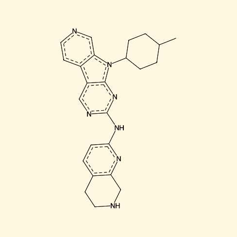 CC1CCC(n2c3cnccc3c3cnc(Nc4ccc5c(n4)CNCC5)nc32)CC1